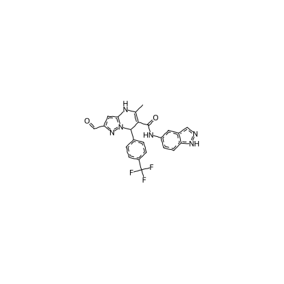 CC1=C(C(=O)Nc2ccc3[nH]ncc3c2)C(c2ccc(C(F)(F)F)cc2)n2nc(C=O)cc2N1